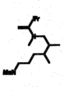 C=C(C(C)C)N(C)CC(C)C(C)CCCNC